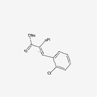 CCC/C(=C\c1ccccc1Cl)C(=O)OC